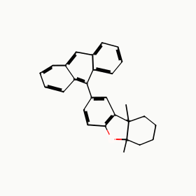 CC12CCCCC1(C)c1cc(-c3c4ccccc4cc4ccccc34)ccc1O2